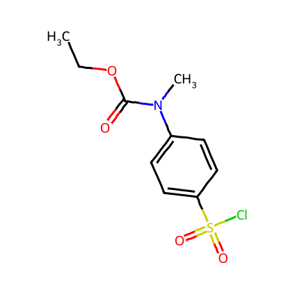 CCOC(=O)N(C)c1ccc(S(=O)(=O)Cl)cc1